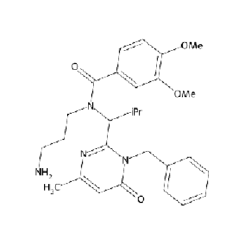 COc1ccc(C(=O)N(CCCN)C(c2nc(C)cc(=O)n2Cc2ccccc2)C(C)C)cc1OC